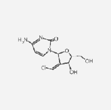 Nc1ccn(C2O[C@H](CO)[C@@H](O)/C2=C/Cl)c(=O)n1